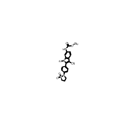 CCn1c(-c2ccc(N3CCCS3(=O)=O)cc2)c(C#N)c2ccc(NC(=O)OC(C)(C)C)cc21